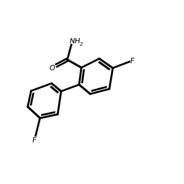 NC(=O)c1cc(F)ccc1-c1cccc(F)c1